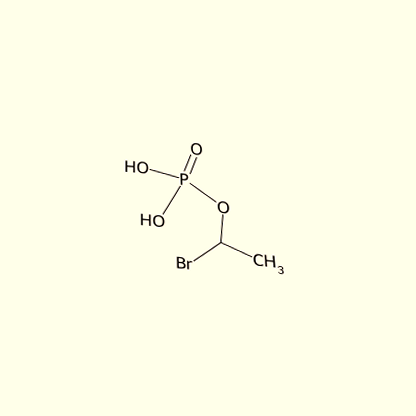 CC(Br)OP(=O)(O)O